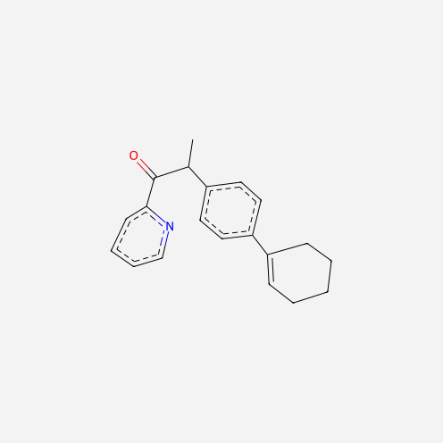 CC(C(=O)c1ccccn1)c1ccc(C2=CCCCC2)cc1